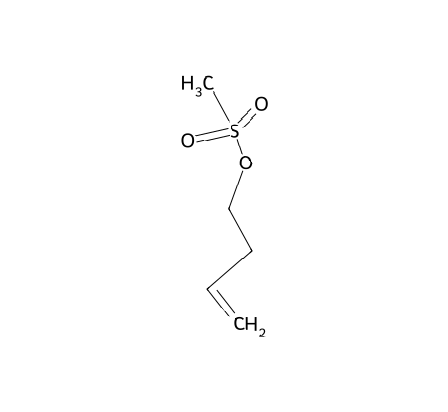 C=CCCOS(C)(=O)=O